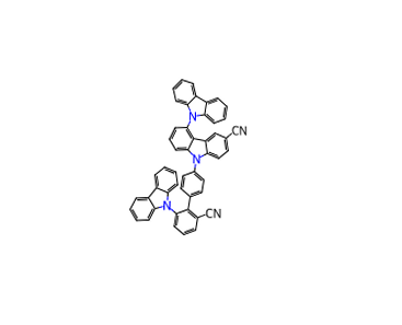 N#Cc1ccc2c(c1)c1c(-n3c4ccccc4c4ccccc43)cccc1n2-c1ccc(-c2c(C#N)cccc2-n2c3ccccc3c3ccccc32)cc1